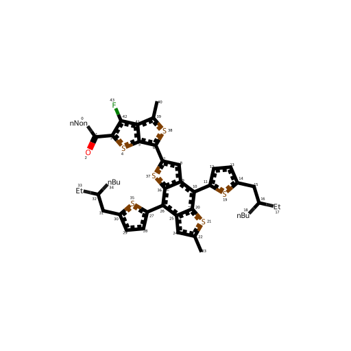 CCCCCCCCCC(=O)c1sc2c(-c3cc4c(-c5ccc(CC(CC)CCCC)s5)c5sc(C)cc5c(-c5ccc(CC(CC)CCCC)s5)c4s3)sc(C)c2c1F